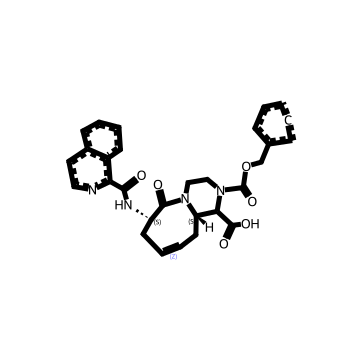 O=C(N[C@H]1C/C=C\C[C@H]2C(C(=O)O)N(C(=O)OCc3ccccc3)CCN2C1=O)c1nccc2ccccc12